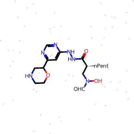 CCCCC[C@H](CN(O)C=O)C(=O)NNc1cc(C2CNCCO2)ncn1